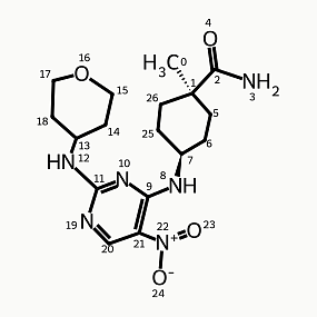 C[C@]1(C(N)=O)CC[C@@H](Nc2nc(NC3CCOCC3)ncc2[N+](=O)[O-])CC1